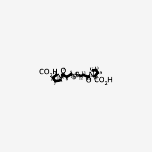 O=C(O)C1CCCN1C(=O)CCSSCCC(=O)N1CCCC1C(=O)O